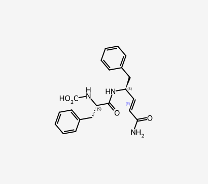 NC(=O)/C=C/[C@H](Cc1ccccc1)NC(=O)[C@H](Cc1ccccc1)NC(=O)O